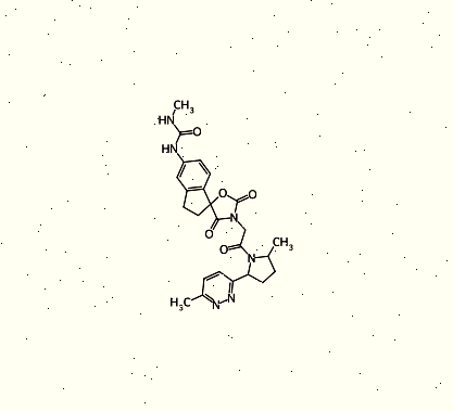 CNC(=O)Nc1ccc2c(c1)CCC21OC(=O)N(CC(=O)N2C(C)CCC2c2ccc(C)nn2)C1=O